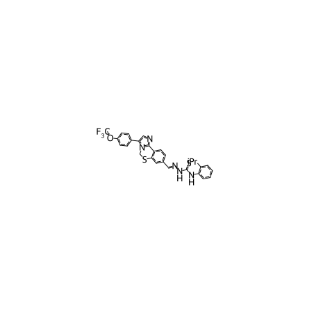 CC(C)c1ccccc1NC(=S)N/N=C/c1ccc2c(c1)SCn1c(-c3ccc(OC(F)(F)F)cc3)cnc1-2